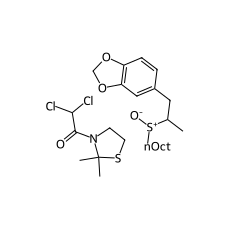 CC1(C)SCCN1C(=O)C(Cl)Cl.CCCCCCCC[S+]([O-])C(C)Cc1ccc2c(c1)OCO2